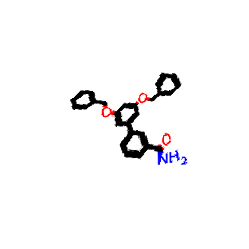 NC(=O)c1cccc(-c2cc(OCc3ccccc3)cc(OCc3ccccc3)c2)c1